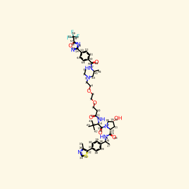 CCN(CCOCCOCCC(=O)NC(C(=O)N1C[C@H](O)C[C@H]1C(=O)NC(C)c1ccc(-c2scnc2C)cc1)C(C)(C)C)CC(C)NC(=O)c1ccc(-c2noc(C(F)(F)F)n2)cc1